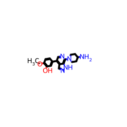 COc1ccc(-c2cnc(N3CCC(N)CC3)c3[nH]ncc23)cc1O